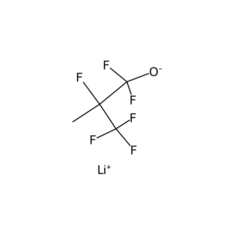 CC(F)(C([O-])(F)F)C(F)(F)F.[Li+]